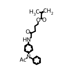 C=C(C)C(=O)OCCCC(=O)CNc1ccc(N(C(C)=O)c2ccccc2)cc1